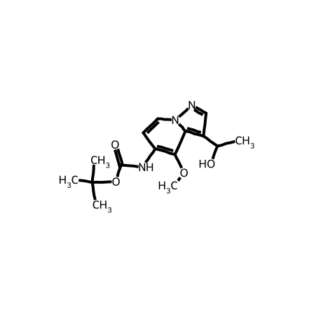 COc1c(NC(=O)OC(C)(C)C)ccn2ncc(C(C)O)c12